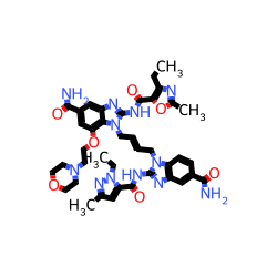 CCc1nc(C)oc1C(=O)Nc1nc2cc(C(N)=O)cc(OCCN3CCOCC3)c2n1CC=CCn1c(NC(=O)c2cc(C)nn2CC)nc2cc(C(N)=O)ccc21